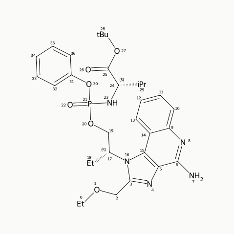 CCOCc1nc2c(N)nc3ccccc3c2n1[C@H](CC)COP(=O)(N[C@H](C(=O)OC(C)(C)C)C(C)C)Oc1ccccc1